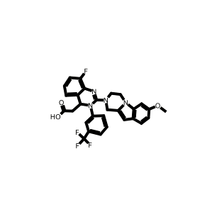 COc1ccc2cc3n(c2c1)CCN(C1=Nc2c(F)cccc2C(CC(=O)O)N1c1cccc(C(F)(F)F)c1)C3